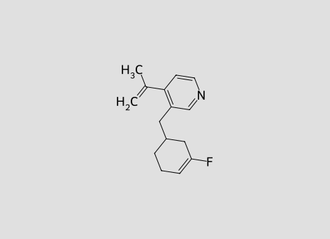 C=C(C)c1ccncc1CC1CCC=C(F)C1